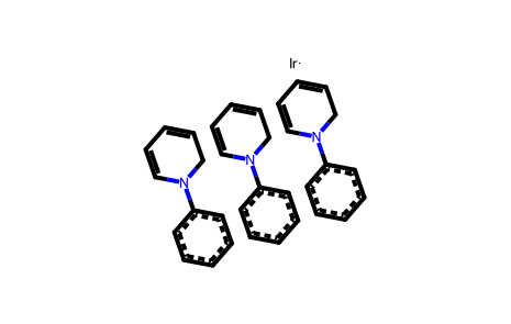 C1=CCN(c2ccccc2)C=C1.C1=CCN(c2ccccc2)C=C1.C1=CCN(c2ccccc2)C=C1.[Ir]